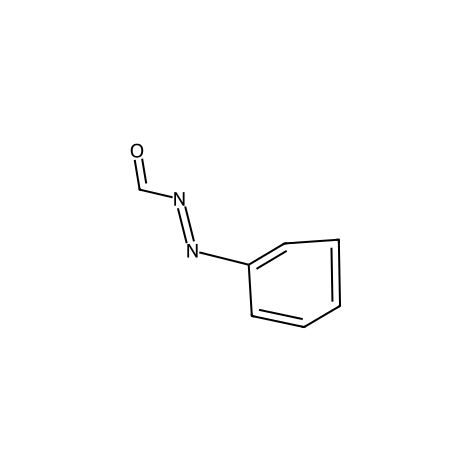 O=C/N=N/c1ccccc1